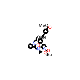 COCCCn1cc(CN(C(=O)[C@H]2CN(C(=O)OC(C)(C)C)CC[C@@H]2c2cccc(C#Cc3ccc(C(=O)OC)cc3)c2)C2CC2)c2ccccc21